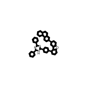 c1ccc(C2=NC(c3ccccc3)NC(c3ccc(-c4cccc5oc6ccc(-c7ccc8c(ccc9ccccc98)c7)cc6c45)cc3)=N2)cc1